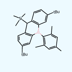 Cc1cc(C)c(B2c3cc(C(C)(C)C)ccc3C([Si](C)(C)C)c3ccc(C(C)(C)C)cc32)c(C)c1